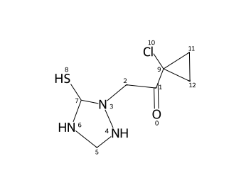 O=C(CN1NCNC1S)C1(Cl)CC1